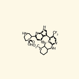 CC(C)(C)C1C(Nc2ncc(C(F)(F)F)c(-c3c[nH]c4nc(C5CNCCS5(=O)=O)ccc34)n2)CCCN1C(=O)O